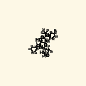 CC(=O)NC(C(=O)N[C@@H](Cc1ccccc1)C(O)CN(Cc1ccc(F)cc1)C(=O)NC(C)(C)C)C(C)(C)C